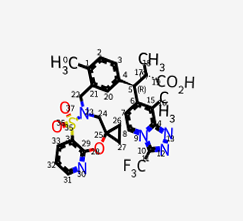 Cc1ccc([C@H](c2ccn3c(C(F)(F)F)nnc3c2C)[C@H](C)C(=O)O)cc1CN1CC2(CC2)Oc2ncccc2S1(=O)=O